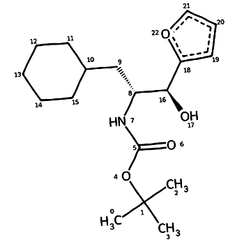 CC(C)(C)OC(=O)N[C@H](CC1CCCCC1)[C@H](O)c1ccco1